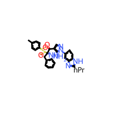 CCCc1nc2cc(-n3ncc(C(=O)C4(S(=O)(=O)c5ccc(C)cc5)Cc5ccccc5N4)c3N)ccc2[nH]1